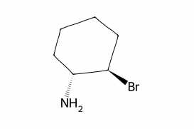 N[C@@H]1CCCC[C@H]1Br